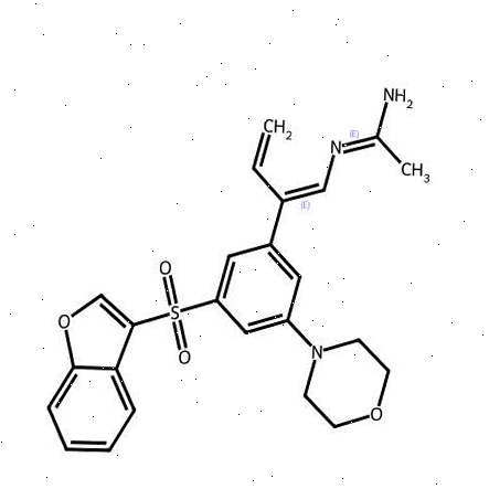 C=C/C(=C\N=C(/C)N)c1cc(N2CCOCC2)cc(S(=O)(=O)c2coc3ccccc23)c1